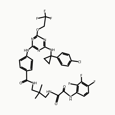 CC(C)(CNC(=O)C(=O)Nc1ccc(F)c(F)c1F)CNC(=O)c1ccc(Nc2nc(NC3(c4ccc(Cl)cc4)CC3)nc(OCC(F)(F)F)n2)cc1